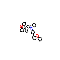 c1ccc2c(c1)Oc1ccccc1C21c2ccccc2-c2c1ccc1c3ccccc3n(-c3ccc(-c4cccc5c4oc4ccccc45)cc3)c21